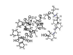 C=C1/C(=C\C=C2/CCC[C@@]3(C)C2CCC3[C@@H](C)/C=C/C(OC(=O)CCC(=O)OC2CC3OCC3(OC(C)=O)C3C(OC(=O)c4ccccc4)C4(O)CC(OC(=O)C(O)C(NC(O)c5ccccc5)c5ccccc5)C(C)=C(C(OC(C)=O)C(=O)C23C)C4(C)C)C2CC2)CCC[C@@H]1O